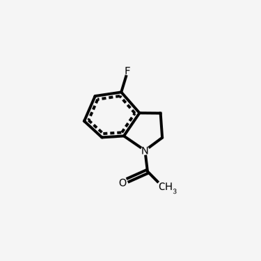 CC(=O)N1CCc2c(F)cccc21